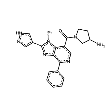 CC(C)n1c(-c2cn[nH]c2)nc2c(-c3ccccc3)ncc(C(=O)N3CCC(N)C3)c21